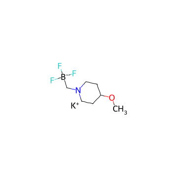 COC1CCN(C[B-](F)(F)F)CC1.[K+]